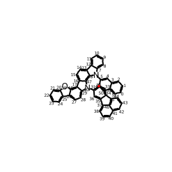 c1ccc2cc(-n3c4ccccc4c4ccc5c6c7oc8ccccc8c7ccc6n(-c6ccc7c(c6)-c6cccc8cccc-7c68)c5c43)ccc2c1